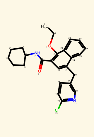 CCOc1c(C(=O)NC2CCCCC2)cc(Cc2ccc(Cl)nc2)c2ccccc12